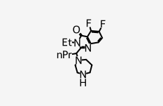 CCCC(c1nc2ccc(F)c(F)c2c(=O)n1CC)N1CCCNCC1